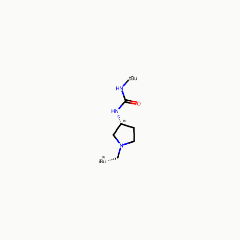 CC[C@@H](C)CN1CC[C@@H](NC(=O)NC(C)(C)C)C1